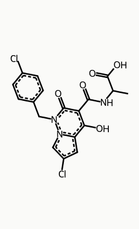 CC(NC(=O)c1c(O)c2cc(Cl)cn2n(Cc2ccc(Cl)cc2)c1=O)C(=O)O